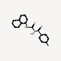 Cc1ccc(C(=O)N(S)C(=O)Nc2cccc3ccccc23)cc1